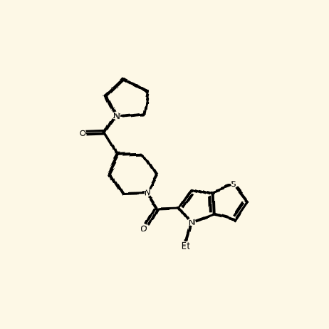 CCn1c(C(=O)N2CCC(C(=O)N3CCCC3)CC2)cc2sccc21